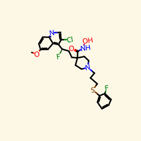 COc1ccc2ncc(Cl)c([C@H](F)CCC3(C(=O)NO)CCN(CCCSc4ccccc4F)CC3)c2c1